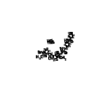 Cc1nc2c(OCc3c(Cl)ccc(N(C)C(=O)CNC(=O)/C=C/c4ccc(NC(=O)c5ccncc5)cc4)c3Cl)cccn2c1Br.Cl.Cl